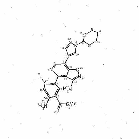 COC(=O)c1cc(-c2ncc(-c3cnn(C4CCCCO4)c3)c3onc(N)c23)c(F)cc1N